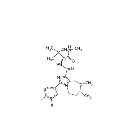 CNC(=O)[C@@H](NC(=O)c1nc(-c2ccc(F)c(F)c2)n2c1CN(C)C(C)CC2)C(C)(C)C